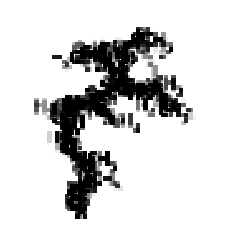 BC(C)(C)OCCC(C)(C)NC(=O)CCOCC(COCCC(=O)NC(C)(C)CCOC(C)(C)C)(COCCC(=O)NC(C)(C)CCOC(C)(C)C)NC(=O)CCNC(=O)[C@H](CCC(=O)NC(C(=O)NCC(=O)Nc1ccc(COC(=O)N(C)CCN(C)C(=O)Oc2ccc3ccc(=O)oc3c2)cc1)C(C)C)NC(=O)CCCC